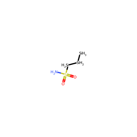 NS(=O)(=O)[SiH2][SiH2][SiH3]